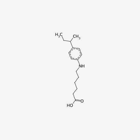 CCC(C)c1ccc(NCCCCCC(=O)O)cc1